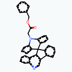 O=C(CN1c2ccccc2C2(c3ccccc3-c3cnc4ccccc4c32)c2ccccc21)OCc1ccccc1